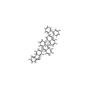 c1ccc(-c2ccccc2-c2ccc3c(-c4c5ccccc5c(-c5ccc6c(c5)oc5ccccc56)c5ccccc45)cccc3c2)cc1